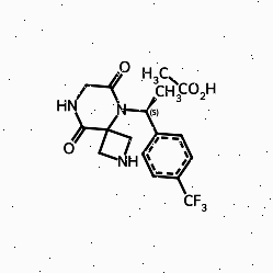 CC(=O)O.C[C@@H](c1ccc(C(F)(F)F)cc1)N1C(=O)CNC(=O)C12CNC2